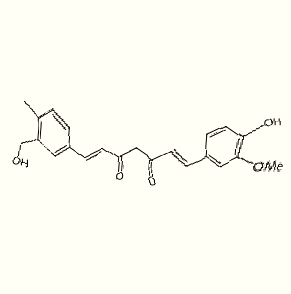 COc1cc(C=CC(=O)CC(=O)C=Cc2ccc(C)c(CO)c2)ccc1O